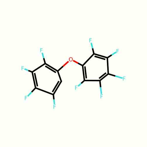 Fc1cc(Oc2c(F)c(F)c(F)c(F)c2F)c(F)c(F)c1F